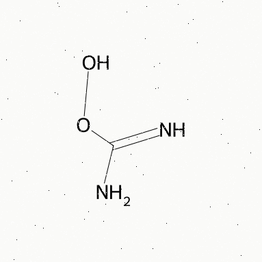 N=C(N)OO